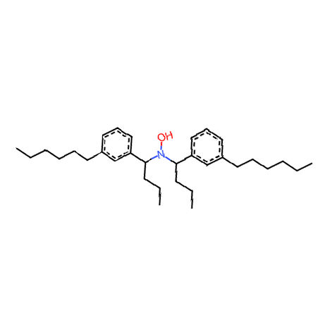 CCCCCCc1cccc(C(CCC)N(O)C(CCC)c2cccc(CCCCCC)c2)c1